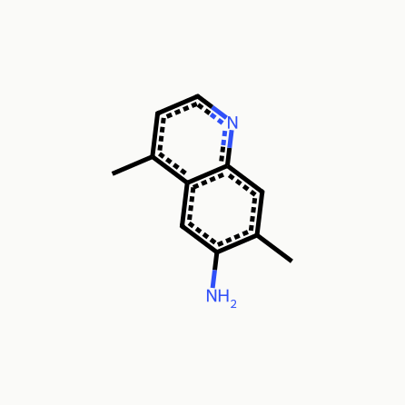 Cc1cc2nccc(C)c2cc1N